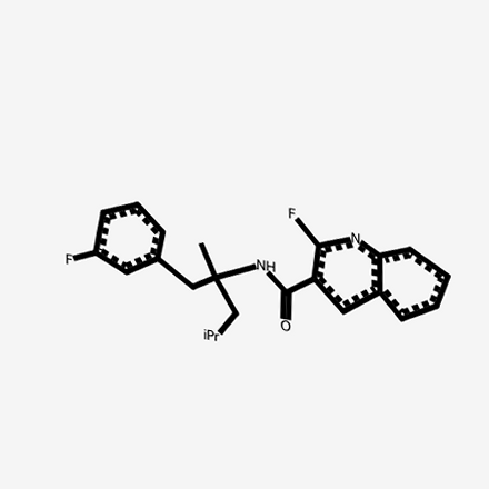 CC(C)CC(C)(Cc1cccc(F)c1)NC(=O)c1cc2ccccc2nc1F